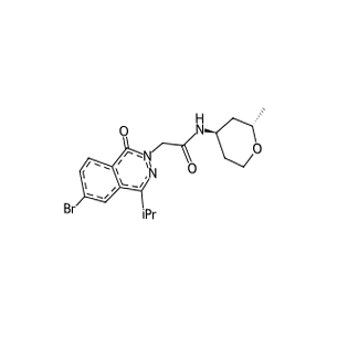 CC(C)c1nn(CC(=O)N[C@@H]2CCO[C@@H](C)C2)c(=O)c2ccc(Br)cc12